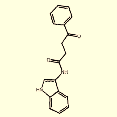 O=C(CCC(=O)c1ccccc1)Nc1c[nH]c2ccccc12